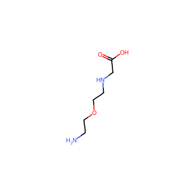 NCCOCCNCC(=O)O